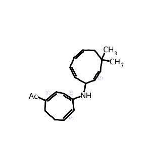 CC(=O)/C1=C/C=C(NC2C=CC=CCC(C)(C)/C=C\2)\C=C/CC1